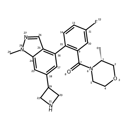 C[C@@H]1COCCN1C(=O)c1cc(F)ccc1-c1cc(C2CNC2)cc2c1cnn2C